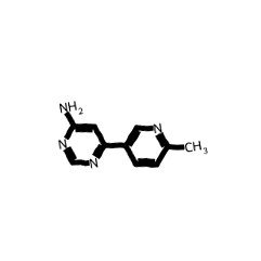 Cc1ccc(-c2cc(N)ncn2)cn1